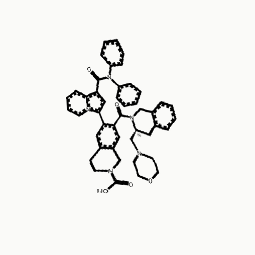 O=C(O)N1CCc2cc(-c3cc(C(=O)N(c4ccccc4)c4ccccc4)c4ccccn34)c(C(=O)N3Cc4ccccc4C[C@H]3CN3CCOCC3)cc2C1